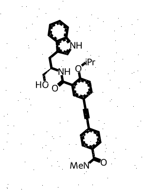 CNC(=O)c1ccc(C#Cc2ccc(OC(C)C)c(C(=O)N[C@@H](CO)Cc3c[nH]c4ccccc34)c2)cc1